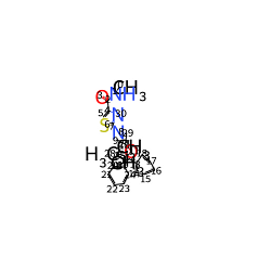 CNC(=O)c1csc(N2CC(O[Si](c3ccccc3)(c3ccccc3)C(C)(C)C)C2)n1